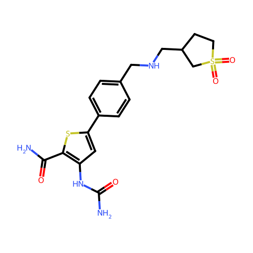 NC(=O)Nc1cc(-c2ccc(CNCC3CCS(=O)(=O)C3)cc2)sc1C(N)=O